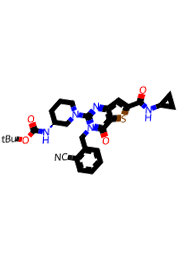 CC(C)(C)OC(=O)N[C@@H]1CCCN(c2nc3cc(C(=O)NC4CC4)sc3c(=O)n2Cc2ccccc2C#N)C1